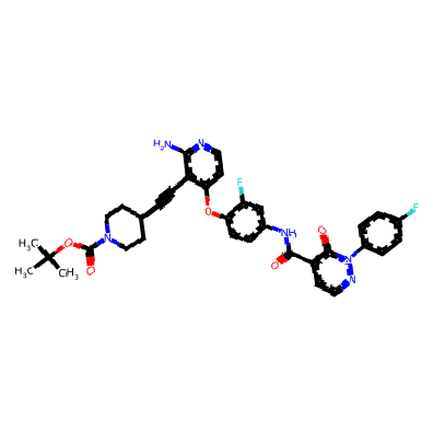 CC(C)(C)OC(=O)N1CCC(C#Cc2c(Oc3ccc(NC(=O)c4ccnn(-c5ccc(F)cc5)c4=O)cc3F)ccnc2N)CC1